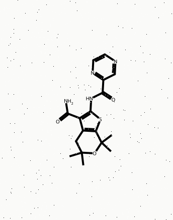 CC1(C)Cc2c(sc(NC(=O)c3cnccn3)c2C(N)=O)C(C)(C)O1